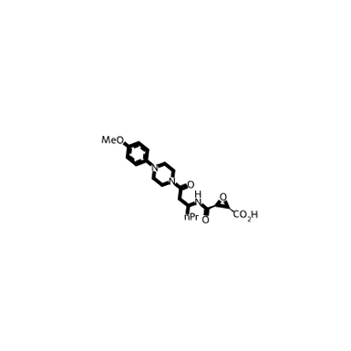 CCCC(CC(=O)N1CCN(c2ccc(OC)cc2)CC1)NC(=O)[C@H]1O[C@@H]1C(=O)O